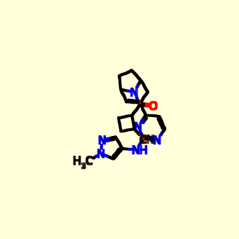 Cn1cc(Nc2nccc(C3=CC4CCC(C3)N4C(=O)C3CCC3C#N)n2)cn1